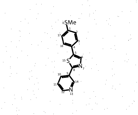 CSc1ccc(-c2cnc(-c3cccnc3)s2)cc1